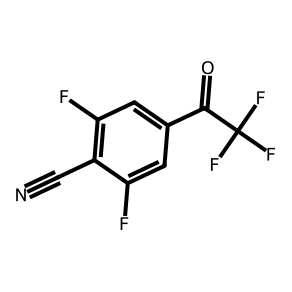 N#Cc1c(F)cc(C(=O)C(F)(F)F)cc1F